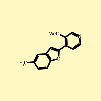 COc1cnccc1-c1cc2cc(C(F)(F)F)ccc2o1